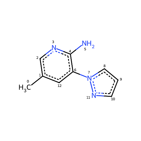 Cc1cnc(N)c(-n2cccn2)c1